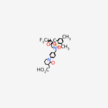 Cc1cc(C)c(S(=O)(=O)N(Cc2ccc(N3CCCC(CC(=O)O)C3=O)cc2)Cc2ccc(C(F)(F)F)o2)c(C)c1